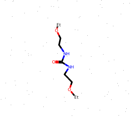 CCOCCNC(=O)NCCOCC